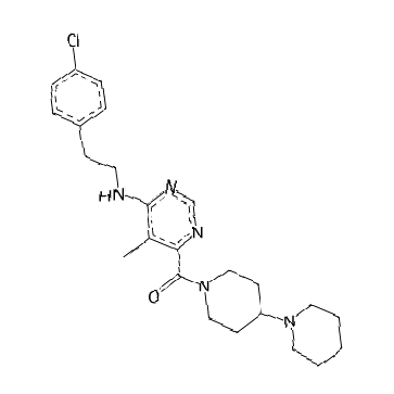 Cc1c(NCCc2ccc(Cl)cc2)ncnc1C(=O)N1CCC(N2CCCCC2)CC1